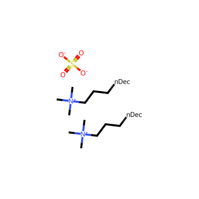 CCCCCCCCCCCCC[N+](C)(C)C.CCCCCCCCCCCCC[N+](C)(C)C.O=S(=O)([O-])[O-]